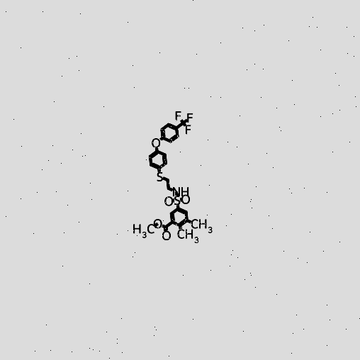 COC(=O)c1cc(S(=O)(=O)NCCSc2ccc(Oc3ccc(C(F)(F)F)cc3)cc2)cc(C)c1C